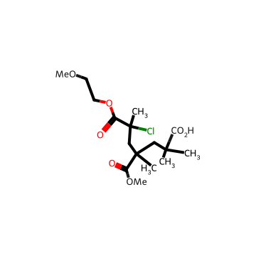 COCCOC(=O)C(C)(Cl)CC(C)(CC(C)(C)C(=O)O)C(=O)OC